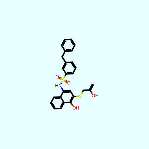 C=C(O)CSc1cc(NS(=O)(=O)c2cccc(Cc3ccccc3)c2)c2ccccc2c1O